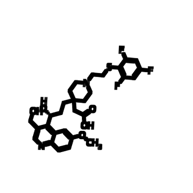 COc1ccc2ncc(CO)c([C@H](O)CCC3(CC(=O)O)CCN(CCSc4c(F)cc(F)cc4F)CC3)c2c1